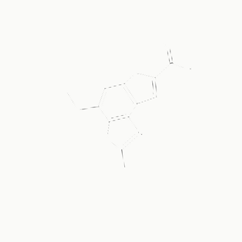 COc1cc2sc(C(=O)O)cc2c2nc(C)oc12